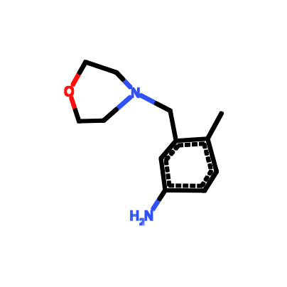 Cc1ccc(N)cc1CN1CCOCC1